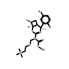 CC(C)(C)OC(=O)N(COCC[Si](C)(C)C)C1=N[C@](C)(c2cc(Br)ccc2F)C2C[C@H](F)[C@]2(F)S1